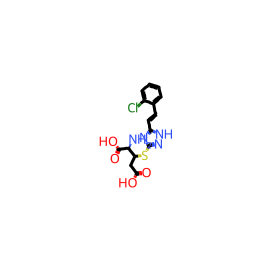 N[C@H](C(=O)O)C(CC(=O)O)Sc1n[nH]c(C=Cc2ccccc2Cl)n1